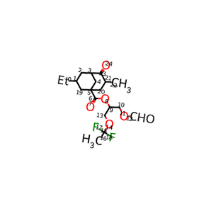 CCC1CC2CC(C(=O)OC(COC=O)COC(C)(F)F)(C1)CC(C)C2=O